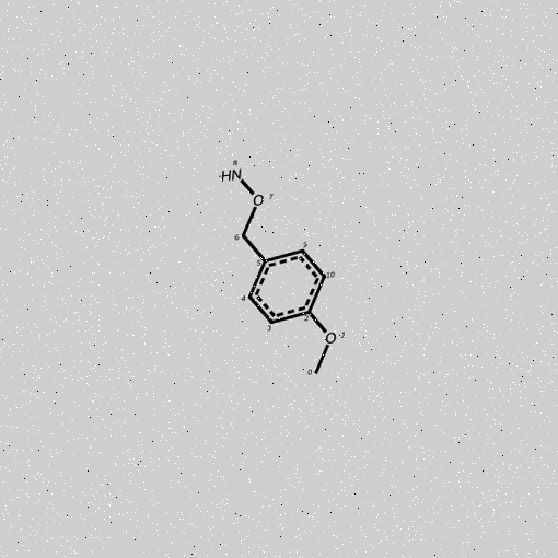 COc1ccc(CO[NH])cc1